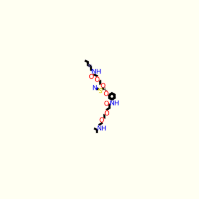 CC/C=C/CNC(=O)COCCO[C@H](COc1cccc(NC(=O)CCOCCOCCNC(C)C)c1)SC#N